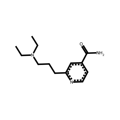 CCN(CC)CCCc1cc(C(N)=O)ccn1